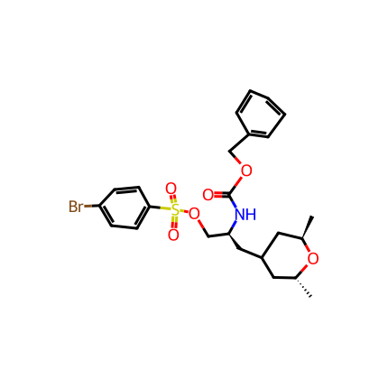 C[C@@H]1CC(C[C@@H](COS(=O)(=O)c2ccc(Br)cc2)NC(=O)OCc2ccccc2)C[C@@H](C)O1